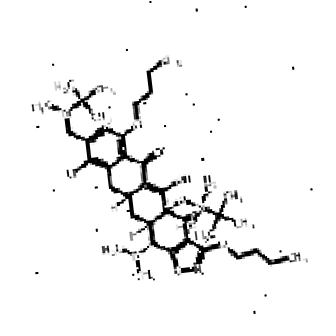 CCCCOc1cc(CN(C)C(C)(C)C)c(Cl)c2c1C(=O)C1=C(O)[C@]3(O[Si](C)(C)C(C)(C)C)C(=O)c4c(OCCCC)noc4[C@@H](N(C)C)[C@@H]3C[C@@H]1C2